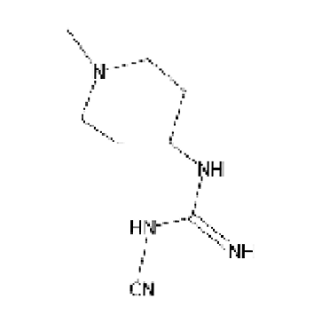 CN1CCC(NC(=N)NC#N)CC1